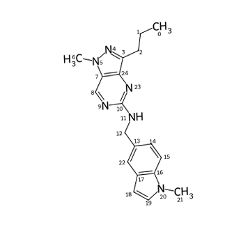 CCCc1nn(C)c2cnc(NCc3ccc4c(ccn4C)c3)nc12